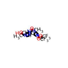 CN(C(=O)c1cn2c(n1)CN(CC(C)(C)O)CC2)C1(C)CCN(C(=O)OC(C(F)(F)F)C(F)(F)F)CC1